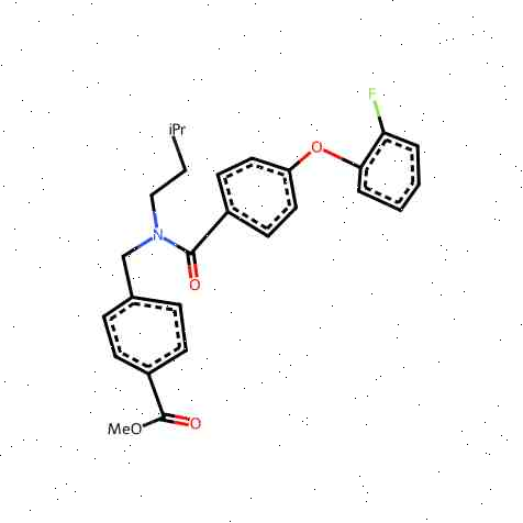 COC(=O)c1ccc(CN(CCC(C)C)C(=O)c2ccc(Oc3ccccc3F)cc2)cc1